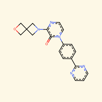 O=c1c(N2CC3(COC3)C2)nccn1-c1ccc(-c2ncccn2)cc1